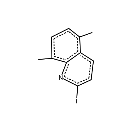 Cc1ccc(C)c2nc(I)ccc12